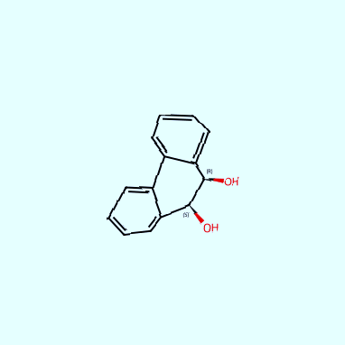 O[C@@H]1c2ccccc2-c2ccccc2[C@@H]1O